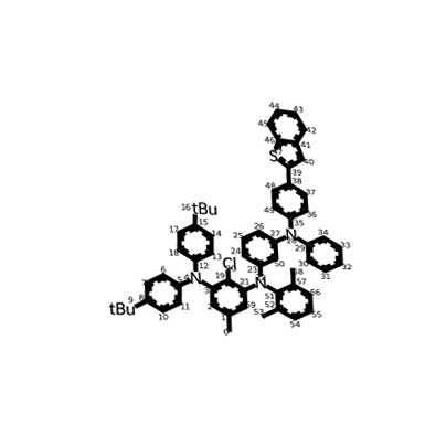 Cc1cc(N(c2ccc(C(C)(C)C)cc2)c2ccc(C(C)(C)C)cc2)c(Cl)c(N(c2cccc(N(c3ccccc3)c3ccc(-c4cc5ccccc5s4)cc3)c2)c2c(C)cccc2C)c1